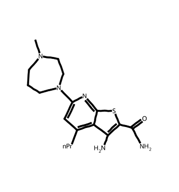 CCCc1cc(N2CCCN(C)CC2)nc2sc(C(N)=O)c(N)c12